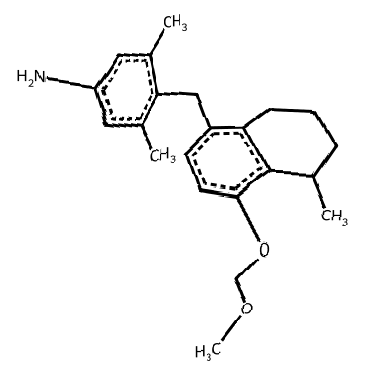 COCOc1ccc(Cc2c(C)cc(N)cc2C)c2c1C(C)CCC2